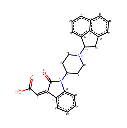 O=C(O)C=C1C(=O)N(C2CCN(C3Cc4cccc5cccc3c45)CC2)c2ccccc21